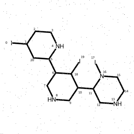 IC1CCNC(C2CNCC(C3CNCCN3I)C2I)C1